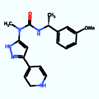 COc1cccc([C@@H](C)NC(=O)N(C)c2cc(C3=CCNC=C3)n[nH]2)c1